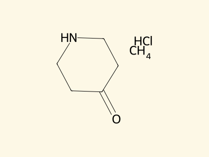 C.Cl.O=C1CCNCC1